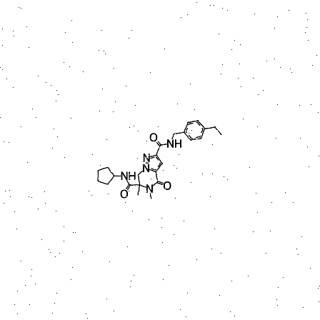 CCc1ccc(CNC(=O)c2cc3n(n2)CC(C)(C(=O)NC2CCCC2)N(C)C3=O)cc1